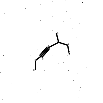 CCC#C[C](C)CC